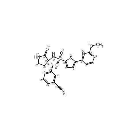 COc1nccc(-c2ccc(S(=O)(=O)N[C@@]3(Cc4cccc(C#N)c4)CCNC3=O)s2)n1